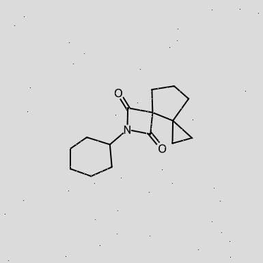 O=C1N(C2CCCCC2)C(=O)C12CCCC21CC1